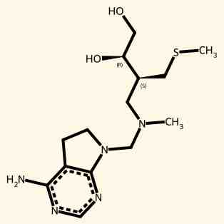 CSC[C@@H](CN(C)CN1CCc2c(N)ncnc21)[C@@H](O)CO